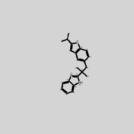 CC(C)c1cc2cc(CC(C)(C)c3nc4ccccc4[nH]3)ccc2o1